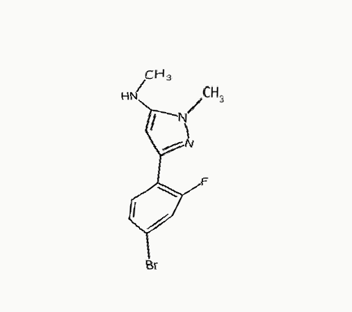 CNc1cc(-c2ccc(Br)cc2F)nn1C